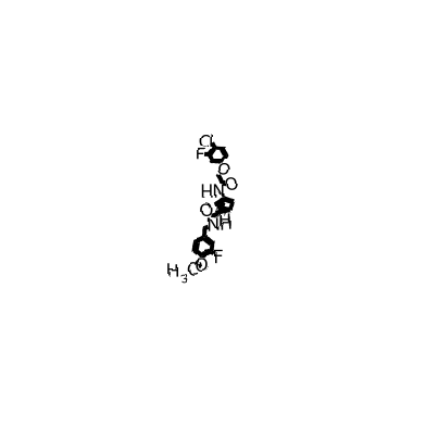 COc1ccc(CNC(=O)[C@@H]2CC3(NC(=O)COc4ccc(Cl)c(F)c4)CC2C3)cc1F